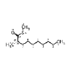 CCCCCCCC[C@H](C)C(=O)SC